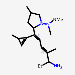 CCC(N)/C(C)=C/C=C(\C1=CC1C)C1CC(C)CN1N(C)NC